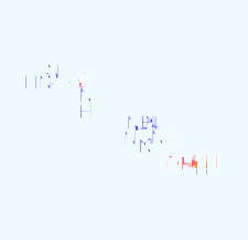 [3H]POCC1OC(n2cnc3c(NCCCCCCNC(=O)/C=C/c4c[nH]cn4)ncnc32)CC1O